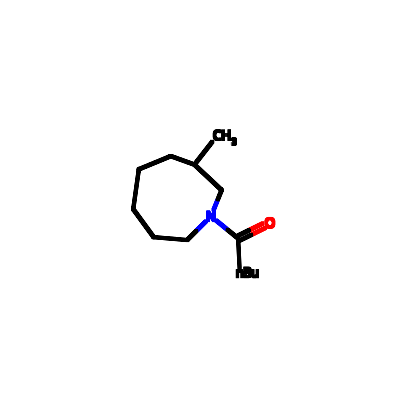 CCCCC(=O)N1CCCCCC(C)C1